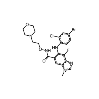 Cn1cnc2c(F)c(Nc3ccc(Br)cc3Cl)c(C(=O)NOCCN3CCOCC3)cc21